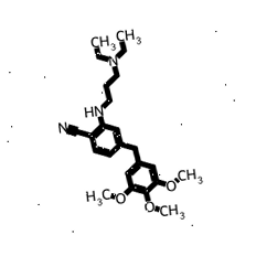 CCN(CC)CCCNc1cc(Cc2cc(OC)c(OC)c(OC)c2)ccc1C#N